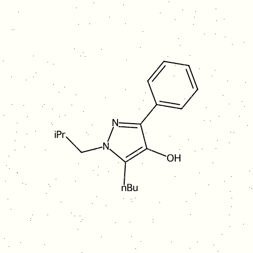 CCCCc1c(O)c(-c2ccccc2)nn1CC(C)C